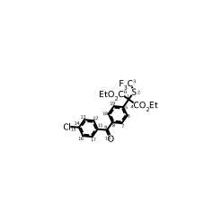 CCOC(=O)C(SC(F)(F)F)(C(=O)OCC)c1ccc(C(=O)c2ccc(Cl)cc2)cc1